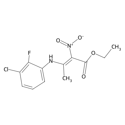 CCOC(=O)/C(=C(\C)Nc1cccc(Cl)c1F)[N+](=O)[O-]